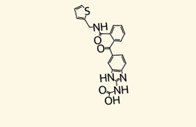 O=C(O)Nc1nc2ccc(C(=O)c3ccccc3C(=O)NCc3cccs3)cc2[nH]1